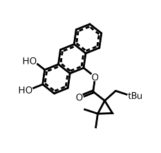 CC(C)(C)CC1(C(=O)Oc2c3ccccc3cc3c(O)c(O)ccc23)CC1(C)C